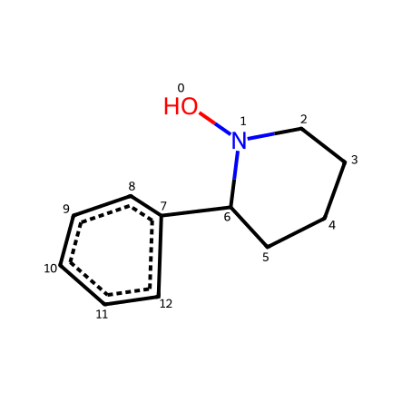 ON1CCCCC1c1ccccc1